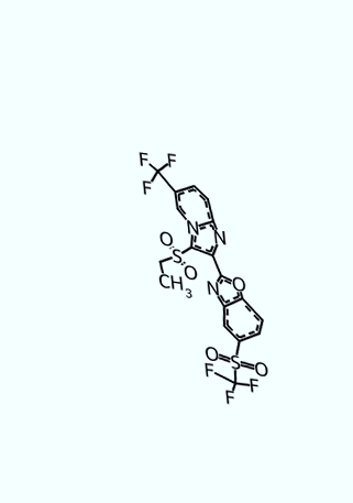 CCS(=O)(=O)c1c(-c2nc3cc(S(=O)(=O)C(F)(F)F)ccc3o2)nc2ccc(C(F)(F)F)cn12